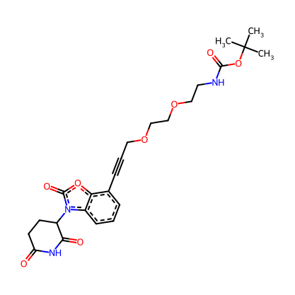 CC(C)(C)OC(=O)NCCOCCOCC#Cc1cccc2c1oc(=O)n2C1CCC(=O)NC1=O